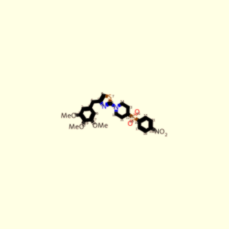 COc1cc(Cc2csc(N3CCC(S(=O)(=O)c4ccc([N+](=O)[O-])cc4)CC3)n2)cc(OC)c1OC